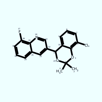 CC1(C)Oc2c(Cl)cccc2C(c2cnc3c(F)cccc3c2)O1